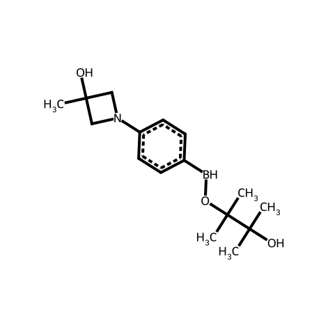 CC1(O)CN(c2ccc(BOC(C)(C)C(C)(C)O)cc2)C1